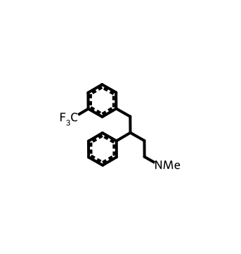 CNCCC(Cc1cccc(C(F)(F)F)c1)c1ccccc1